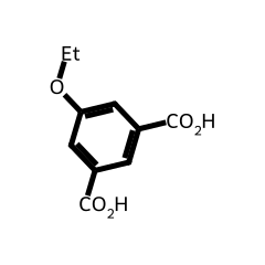 [CH2]COc1cc(C(=O)O)cc(C(=O)O)c1